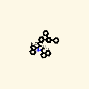 C=CC(NC(C(=C)C(=C)c1cccc(-c2ccc(C3C=CCCC3)cc2C2=CCCCC2)c1)C1C=CC=C2CCC=CC21)C1=CCCC2=C1CCC=C2